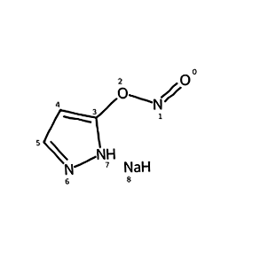 O=NOc1ccn[nH]1.[NaH]